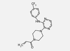 C=CC(=O)N1CCN(c2nccnc2Nc2ccc(C(F)(F)F)cc2)CC1